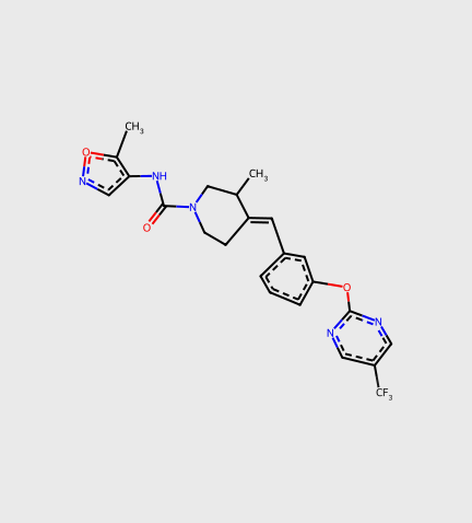 Cc1oncc1NC(=O)N1CC/C(=C\c2cccc(Oc3ncc(C(F)(F)F)cn3)c2)C(C)C1